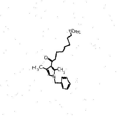 CCCCCCCCCCCCCCCCCC(=O)c1c(C)[c]n(Cc2ccccc2)c1C